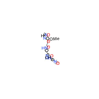 COc1cc2c(cc1OCCCC(=O)Nc1ccc(-c3cc(C(=O)Nc4ccc(N5CCOCC5)cc4)n(C)c3)cc1)N=C[C@@H]1CCCN1C2=O